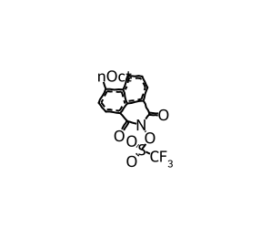 CCCCCCCCc1ccc2c3c(cccc13)C(=O)N(OS(=O)(=O)C(F)(F)F)C2=O